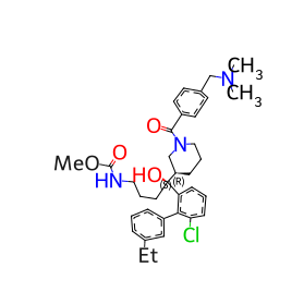 CCc1cccc(-c2c(Cl)cccc2[C@](O)(CCCNC(=O)OC)[C@@H]2CCCN(C(=O)c3ccc(CN(C)C)cc3)C2)c1